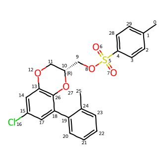 Cc1ccc(S(=O)(=O)OC[C@H]2COc3cc(Cl)cc(-c4ccccc4C)c3O2)cc1